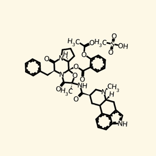 CC(=O)Oc1ccccc1C(=O)O[C@@]12O[C@@](C)(NC(=O)[C@@H]3CC4c5cccc6[nH]cc(c56)C[C@H]4N(C)C3)C(=O)N1[C@@H](Cc1ccccc1)C(=O)N1CCC[C@H]12.CS(=O)(=O)O